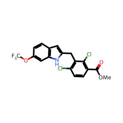 COC(=O)c1ccc(Cl)c(Cc2cc3ccc(OC(F)(F)F)cc3[nH]2)c1Cl